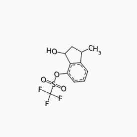 CC1CC(O)c2c(OS(=O)(=O)C(F)(F)F)cccc21